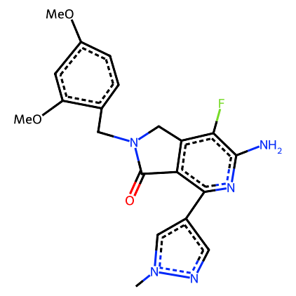 COc1ccc(CN2Cc3c(F)c(N)nc(-c4cnn(C)c4)c3C2=O)c(OC)c1